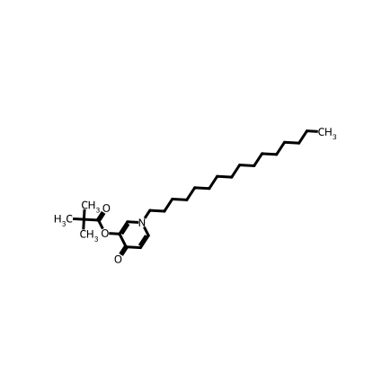 CCCCCCCCCCCCCCCCn1ccc(=O)c(OC(=O)C(C)(C)C)c1